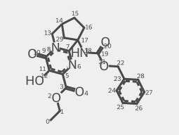 CCOC(=O)c1nc2n(c(=O)c1O)CC1CCC2(NC(=O)OCc2ccccc2)C1